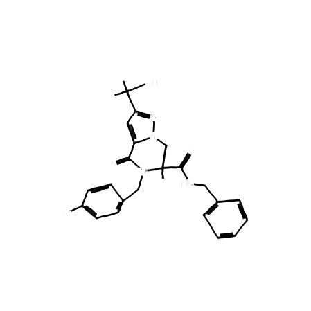 CC(C)(C)c1cc2n(n1)CC(C)(C(=O)NCc1ccccc1)N(Cc1ccc(Cl)cc1)C2=O